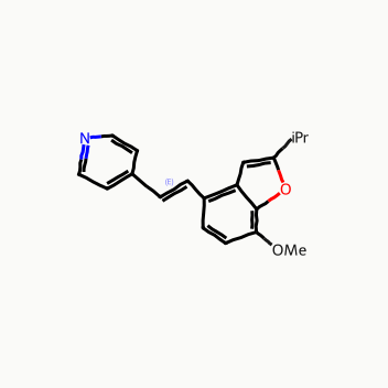 COc1ccc(/C=C/c2ccncc2)c2cc(C(C)C)oc12